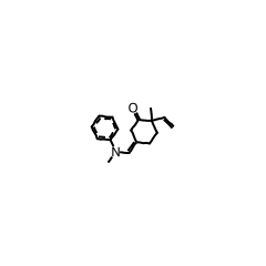 C=CC1(C)CC/C(=C/N(C)c2ccccc2)CC1=O